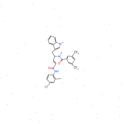 Cc1cc(Cl)ccc1NC(=O)C=CC(Cc1cn(C)c2ccccc12)N(C)C(=O)c1cc(C(F)(F)F)cc(C(F)(F)F)c1